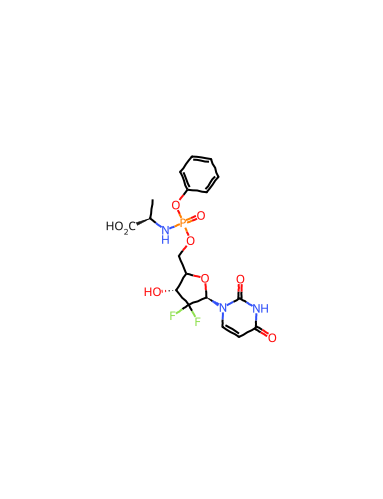 C[C@@H](NP(=O)(OCC1O[C@@H](n2ccc(=O)[nH]c2=O)C(F)(F)[C@@H]1O)Oc1ccccc1)C(=O)O